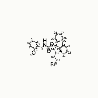 COc1ccccc1CNC(=O)OC1(CCCCBr)c2ccccc2-c2ccccc21